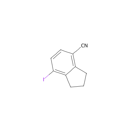 N#Cc1ccc(I)c2c1CCC2